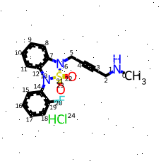 CNCC#CCN1c2ccccc2N(c2ccccc2F)S1(=O)=O.Cl